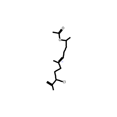 C=C(C)C(Cl)CC/C(C)=C/CCC(C)OC(C)=O